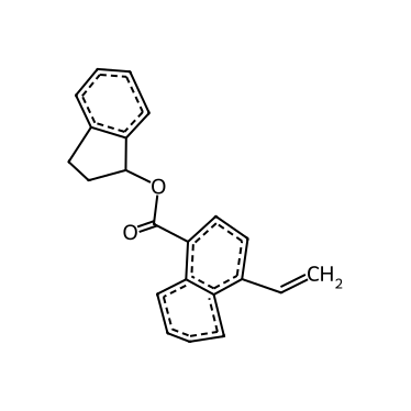 C=Cc1ccc(C(=O)OC2CCc3ccccc32)c2ccccc12